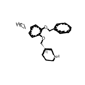 Cl.c1ccc(COc2ccccc2OC[C@H]2CCCNC2)cc1